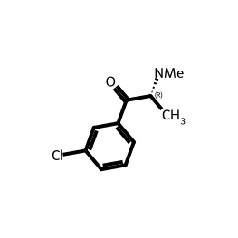 CN[C@H](C)C(=O)c1cccc(Cl)c1